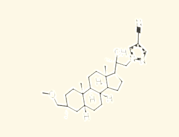 COC[C@@]1(C)CC[C@@]2(C)[C@H](CC[C@@H]3[C@@H]2CC[C@@]2(C)[C@H]3CC[C@@H]2[C@@](C)(O)Cn2cc(C#N)cn2)C1